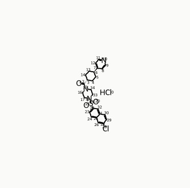 Cl.O=C([C@H]1CC[C@H](c2ccncc2)CC1)N1CCN(S(=O)(=O)c2ccc3cc(Cl)ccc3c2)CC1